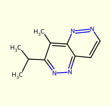 Cc1c(C(C)C)nnc2ccnnc12